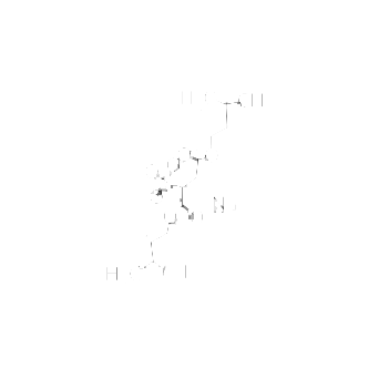 CC(C)CCOC(=O)CC(C(=O)OCCC(C)C)S(=O)(=O)[O-].[Na+]